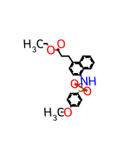 CCOC(=O)CCc1ccc(NS(=O)(=O)c2ccc(OC)cc2)c2ccccc12